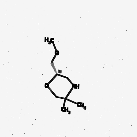 COC[C@@H]1CNC(C)(C)CO1